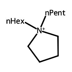 CCCCCC[N+]1(CCCCC)CCCC1